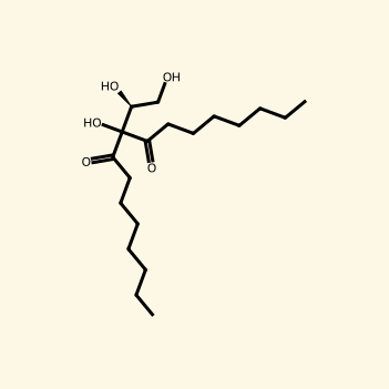 CCCCCCCC(=O)C(O)(C(=O)CCCCCCC)[C@@H](O)CO